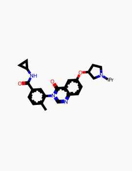 Cc1ccc(C(=O)NC2CC2)cc1-n1cnc2ccc(OC3CCN(C(C)C)C3)cc2c1=O